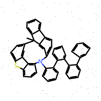 CC12c3ccc4sc5cccc(c5c4c3)N(c3ccccc3-c3ccccc3-c3ccccc3-c3ccccc3)c3ccc(c1c3)-c1ccccc12